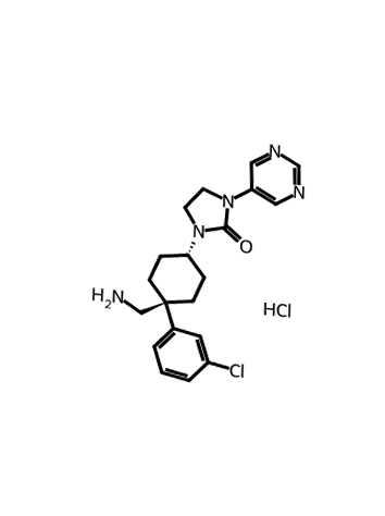 Cl.NC[C@]1(c2cccc(Cl)c2)CC[C@@H](N2CCN(c3cncnc3)C2=O)CC1